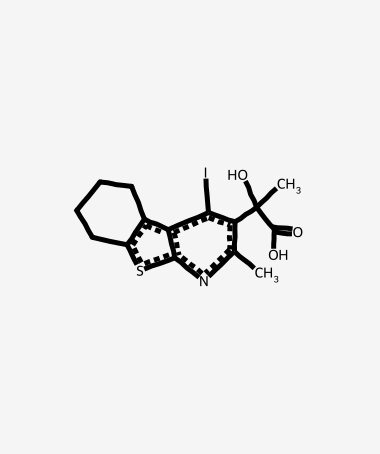 Cc1nc2sc3c(c2c(I)c1C(C)(O)C(=O)O)CCCC3